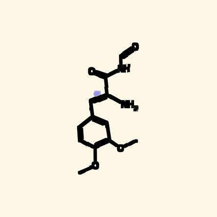 COc1ccc(/C=C(\N)C(=O)NC=O)cc1OC